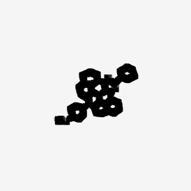 CC(C)(C)c1ccc(N2c3ccc4cccc5c4c3B3c4c-5nc(-c5ccccc5)nc4-c4cccc5ccc2c3c45)cc1